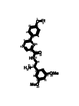 CCOc1ccc(-c2cncc(C(=O)NC[C@@H](N)c3cc(OC)cc(OC)c3)n2)cc1